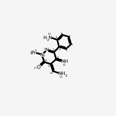 CC(C)N1N=C(c2ccccc2N)C(=N)/C(=C\N)C1=O